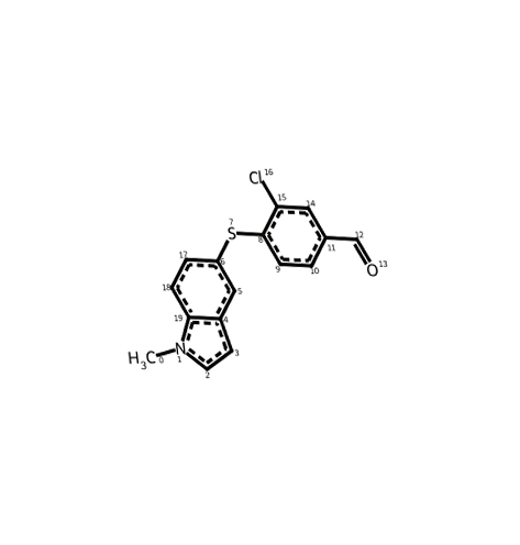 Cn1ccc2cc(Sc3ccc(C=O)cc3Cl)ccc21